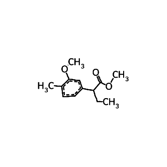 CCC(C(=O)OC)c1ccc(C)c(OC)c1